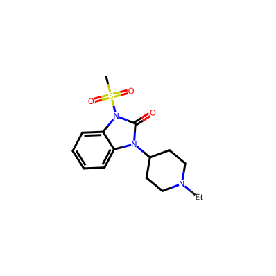 CCN1CCC(n2c(=O)n(S(C)(=O)=O)c3ccccc32)CC1